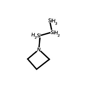 [SiH3][SiH2][SiH2]N1CCC1